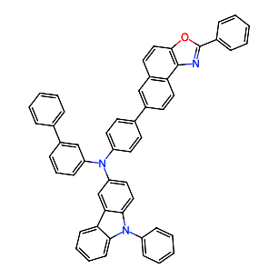 c1ccc(-c2cccc(N(c3ccc(-c4ccc5c(ccc6oc(-c7ccccc7)nc65)c4)cc3)c3ccc4c(c3)c3ccccc3n4-c3ccccc3)c2)cc1